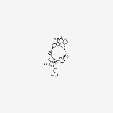 CCn1c(-c2cccnc2[C@H](C)OC)c2c3cc(ccc31)-c1csc(n1)C[C@H](NC(=O)[C@H](C(C)C)N(C)C(=O)N(C)C[C@H]1CCCN1C)C(=O)N1CCC[C@H](N1)C(=O)OCC(C)(C)C2